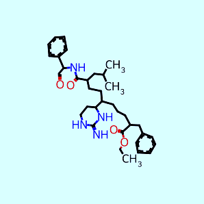 CCOC(=O)C(CCCC(CCC(CC(C)C)C(=O)NC(C=O)c1ccccc1)C1CCNC(=N)N1)Cc1ccccc1